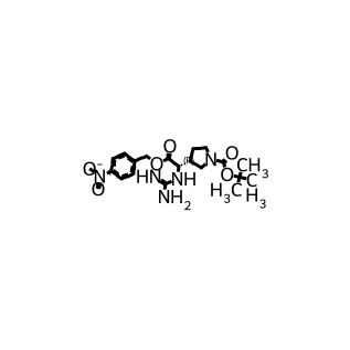 CC(C)(C)OC(=O)N1CC[C@@H](C(NC(=N)N)C(=O)OCc2ccc([N+](=O)[O-])cc2)C1